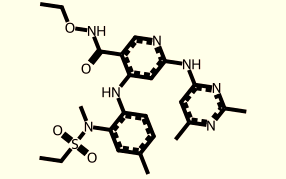 CCONC(=O)c1cnc(Nc2cc(C)nc(C)n2)cc1Nc1ccc(C)cc1N(C)S(=O)(=O)CC